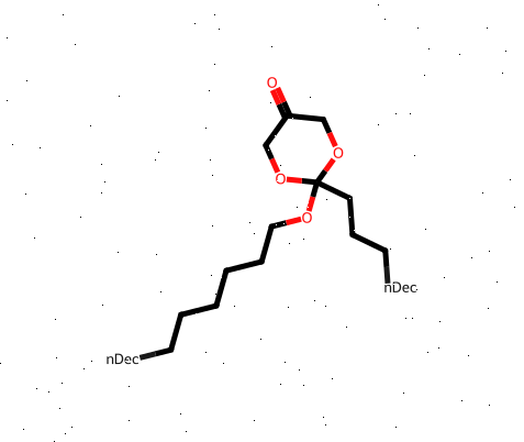 CCCCCCCCCCCCCCCCOC1(CCCCCCCCCCCCC)OCC(=O)CO1